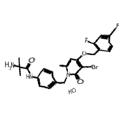 Cc1cc(OCc2ccc(F)cc2F)c(Br)c(=O)n1Cc1ccc(NC(=O)C(C)(C)N)cc1.Cl